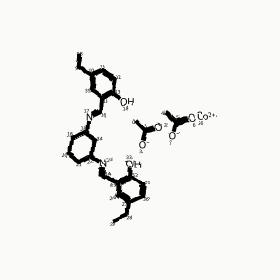 CC(=O)[O-].CC(=O)[O-].CCc1ccc(O)c(C=NC2CCCC(N=Cc3cc(CC)ccc3O)C2)c1.[Co+2]